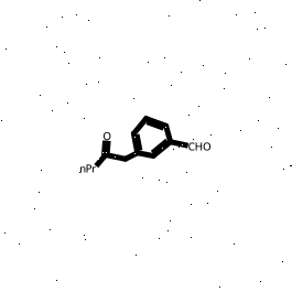 CCCC(=O)Cc1cccc(C=O)c1